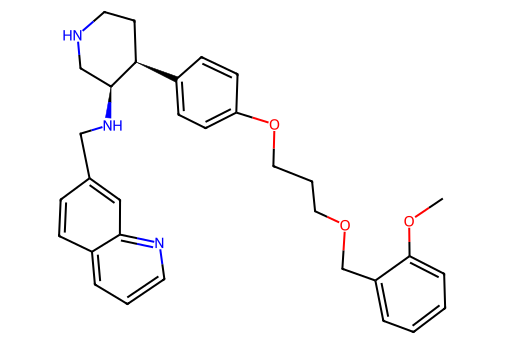 COc1ccccc1COCCCOc1ccc([C@@H]2CCNC[C@@H]2NCc2ccc3cccnc3c2)cc1